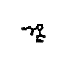 CNOC(=O)[C@@H]1CCCN1C(=O)OC(C)(C)C